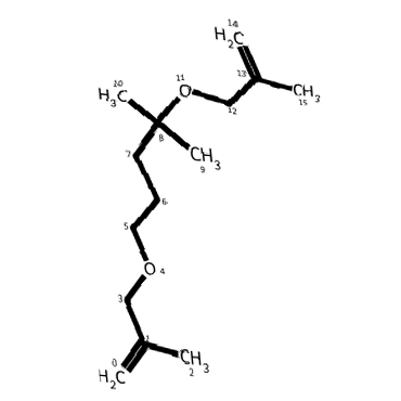 C=C(C)COCCCC(C)(C)OCC(=C)C